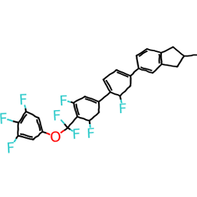 CC1Cc2ccc(C3=CC=C(C4=CC(F)=C(C(F)(F)Oc5cc(F)c(F)c(F)c5)C(F)C4)C(F)C3)cc2C1